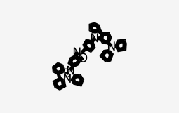 c1ccc(N(c2ccccc2)c2ccc3c4ccccc4n(-c4ccc(-c5nc6ccc(N7B8c9ccccc9-c9ccccc9N8c8ccccc87)cc6o5)cc4)c3c2)cc1